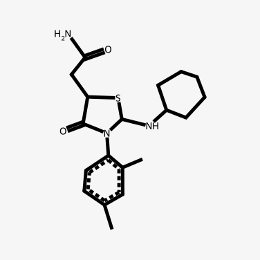 Cc1ccc(N2C(=O)C(CC(N)=O)SC2NC2CCCCC2)c(C)c1